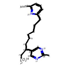 CNc1cccc(CCCCCCC(CC(=O)O)c2cnc(C)nc2)n1